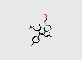 CC(=O)Cc1c(C)c2c3c(cc(C)n3CCN2CCO)c1-c1ccc(C)cc1